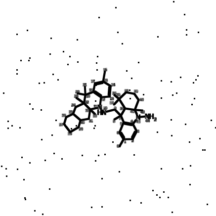 Cc1ccc2c(c1)C(C)(CNN1c3ccc(C)cc3C(C)(C)C3(C)CC4CCCCC4CC13C)C1C(C)(C)CCCC1(C)N2N